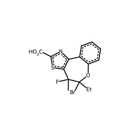 CCC1(Br)Oc2ccccc2-c2nc(C(=O)O)sc2C1(C)F